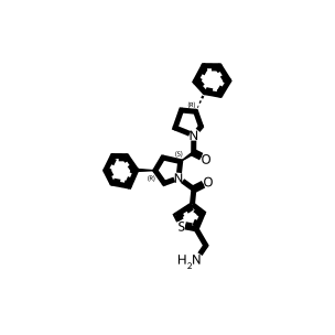 NCc1cc(C(=O)N2C[C@@H](c3ccccc3)C[C@H]2C(=O)N2CC[C@H](c3ccccc3)C2)cs1